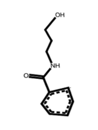 O=C(NCCCO)c1[c]cccc1